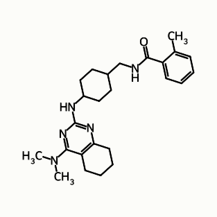 Cc1ccccc1C(=O)NCC1CCC(Nc2nc3c(c(N(C)C)n2)CCCC3)CC1